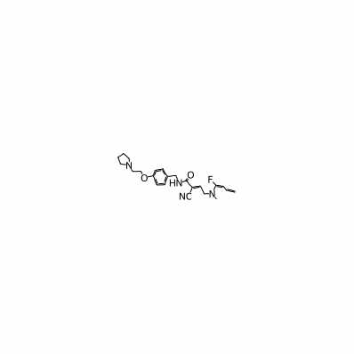 C=C/C=C(/F)N(C)C/C=C(\C#N)C(=O)NCc1ccc(OCCN2CCCC2)cc1